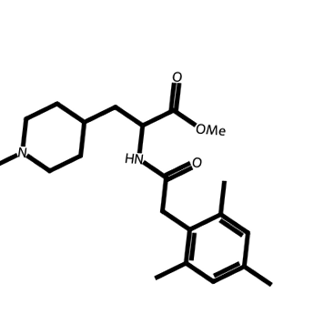 COC(=O)C(CC1CCN(C)CC1)NC(=O)Cc1c(C)cc(C)cc1C